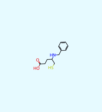 O=C(O)CCC(CS)NCc1ccccc1